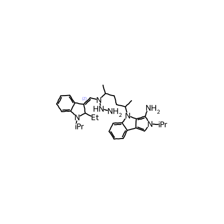 CCC1/C(=C\N(NN)C(C)CCC(C)n2c3ccccc3c3cn(C(C)C)c(N)c32)c2ccccc2N1C(C)C